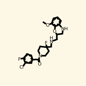 COc1cccc2c1OC(CNCC1(F)CCN(C(=O)c3ccc(F)c(Cl)c3)CC1)CN2